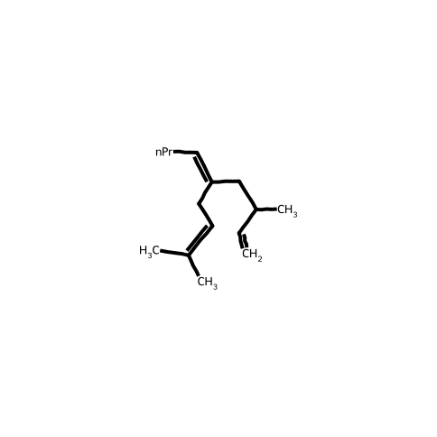 C=CC(C)CC(=CCCC)CC=C(C)C